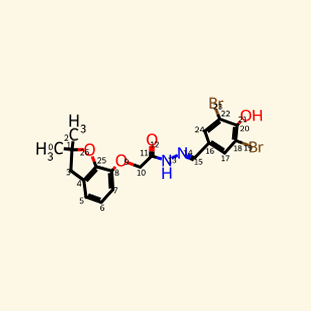 CC1(C)Cc2cccc(OCC(=O)NN=Cc3cc(Br)c(O)c(Br)c3)c2O1